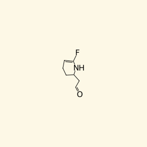 O=CCC1CCC=C(F)N1